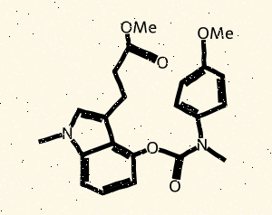 COC(=O)CCc1cn(C)c2cccc(OC(=O)N(C)c3ccc(OC)cc3)c12